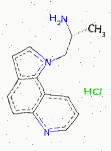 C[C@@H](N)Cn1ccc2ccc3ncccc3c21.Cl